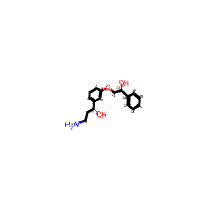 NCC[C@@H](O)c1cccc(OC[C@@H](O)c2ccccc2)c1